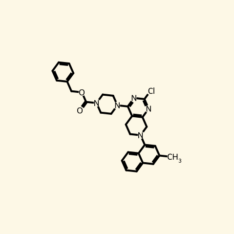 Cc1cc(N2CCc3c(nc(Cl)nc3N3CCN(C(=O)OCc4ccccc4)CC3)C2)c2ccccc2c1